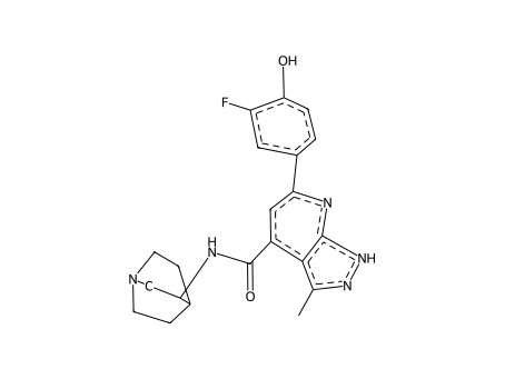 Cc1n[nH]c2nc(-c3ccc(O)c(F)c3)cc(C(=O)NC3CN4CCC3CC4)c12